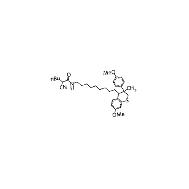 CCCCC(C#N)C(=O)NCCCCCCCCCC1c2ccc(OC)cc2SCC1(C)c1ccc(OC)cc1